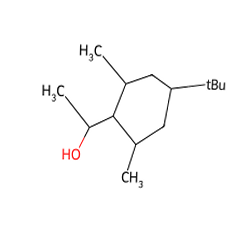 CC(O)C1C(C)CC(C(C)(C)C)CC1C